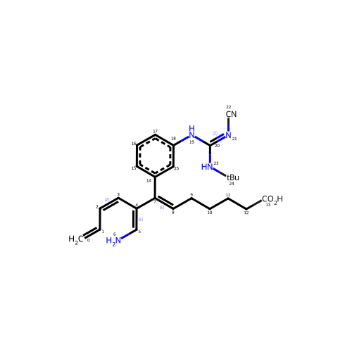 C=C\C=C/C(=C\N)C(=C/CCCCC(=O)O)/c1cccc(N/C(=N\C#N)NC(C)(C)C)c1